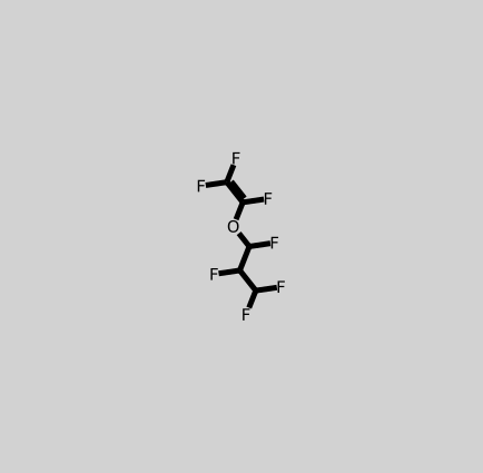 FC(F)=C(F)OC(F)C(F)C(F)F